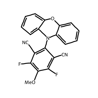 COc1c(F)c(C#N)c(N2c3ccccc3Oc3ccccc32)c(C#N)c1F